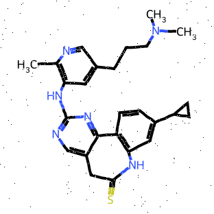 Cc1ncc(CCCN(C)C)cc1Nc1ncc2c(n1)-c1ccc(C3CC3)cc1NC(=S)C2